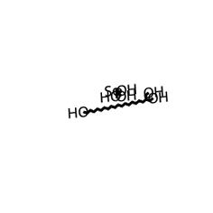 OCCCCCCCCCCCCCCCCCC(CO)CO.OP(O)(O)=[Se]